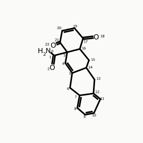 NC(=O)C12C=C3Cc4ccccc4CC3CC1C(=O)C=CC2=O